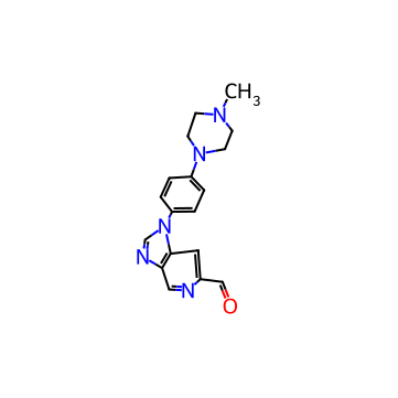 CN1CCN(c2ccc(-n3cnc4cnc(C=O)cc43)cc2)CC1